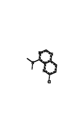 CN(C)c1ncnc2ccc(Cl)nc12